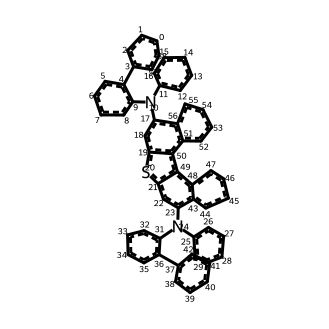 c1ccc(-c2ccccc2N(c2ccccc2)c2cc3sc4cc(N(c5ccccc5)c5ccccc5-c5ccccc5)c5ccccc5c4c3c3ccccc23)cc1